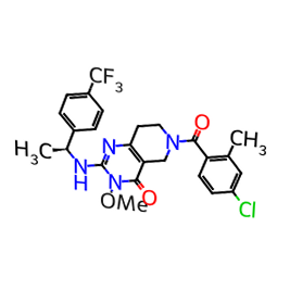 COn1c(N[C@@H](C)c2ccc(C(F)(F)F)cc2)nc2c(c1=O)CN(C(=O)c1ccc(Cl)cc1C)CC2